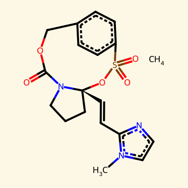 C.Cn1ccnc1C=C[C@@]12CCCN1C(=O)OCc1ccc(cc1)S(=O)(=O)O2